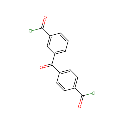 O=C(Cl)c1ccc(C(=O)c2cccc(C(=O)Cl)c2)cc1